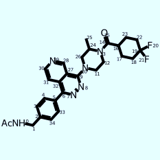 CC(=O)NCc1ccc(-c2nnc(N3CCN(C(=O)C4CCC(F)(F)CC4)C(C)C3)c3cnccc23)cc1